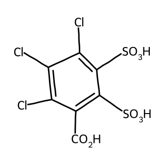 O=C(O)c1c(Cl)c(Cl)c(Cl)c(S(=O)(=O)O)c1S(=O)(=O)O